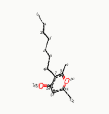 CCCCCCCc1c(C)oc(C)cc1=O